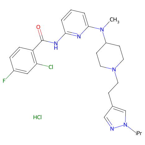 CC(C)n1cc(CCN2CCC(N(C)c3cccc(NC(=O)c4ccc(F)cc4Cl)n3)CC2)cn1.Cl